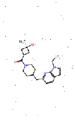 C[C@]1(O)C[C@@H](C(=O)N2CCC(Cc3ccc4ccn(CC(F)(F)F)c4n3)CC2)C1